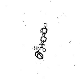 CC(C)(C(=O)NC1C2CC3CC(C2)CC1C3)N1CCN(c2ccc(Cl)cn2)CC1